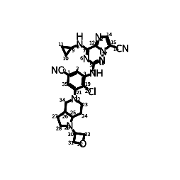 N#Cc1cc(Nc2nc(NC3CC3)c3ncc(C#N)n3n2)c(Cl)c(N2CCC3C(CCN3C3COC3)C2)c1